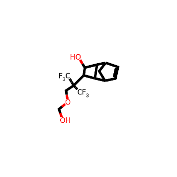 OCOCC(C1C(O)C2C3C=CC(C3)C21)(C(F)(F)F)C(F)(F)F